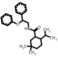 CC(C)C1CCC(C)(C)CC1C(=O)NCC(Oc1ccccc1)c1ccccc1